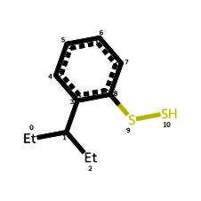 CCC(CC)c1ccccc1SS